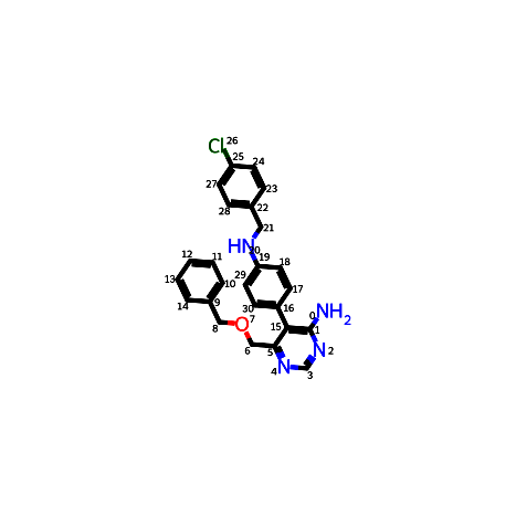 Nc1ncnc(COCc2ccccc2)c1-c1ccc(NCc2ccc(Cl)cc2)cc1